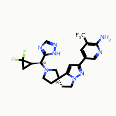 Nc1ncc(-c2cc3n(n2)CC[C@@]32CCN([C@H](c3ncn[nH]3)C3CC3(F)F)C2)cc1C(F)(F)F